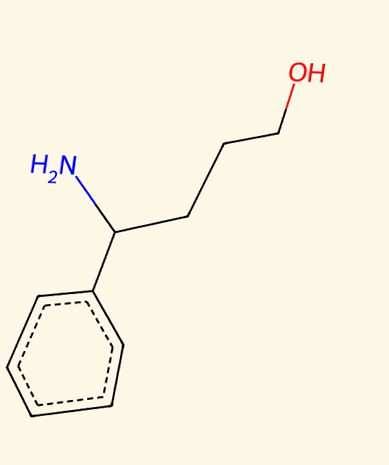 NC(CCCO)c1ccccc1